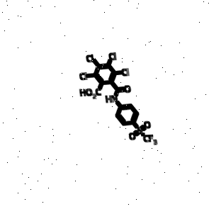 O=C(O)c1c(Cl)c(Cl)c(Cl)c(Cl)c1C(=O)Nc1ccc(S(=O)(=O)C(F)(F)F)cc1